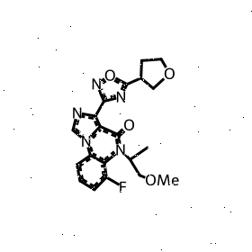 COCC(C)n1c(=O)c2c(-c3noc(C4CCOC4)n3)ncn2c2cccc(F)c21